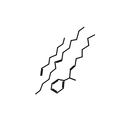 C=CCCCCCC.CCCCCC/C=C/C(C)c1ccccc1.CCCCCC/C=C/CCCCCC